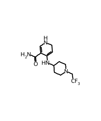 NC(=O)C1=CNCC=C1NC1CCN(CC(F)(F)F)CC1